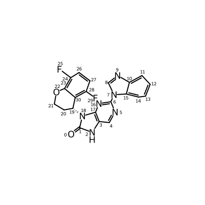 O=c1[nH]c2cnc(-n3cnc4ccccc43)nc2n1[C@@H]1CCOc2c(F)ccc(F)c21